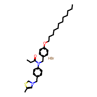 Br.CCCCCCCCCCCCOc1ccc(CN(C(=O)CC)c2ccc(CN3C=C(C)SC3)cc2)cc1